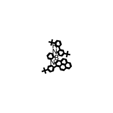 CC(C)(C)c1cccc(-c2cc(C(C)(C)C)cc3c2Nc2cccc4c2B3c2c3ccc5cccc6ccc(c3c56)c3c5ccc(C(C)(C)C)cc5n-4c23)c1